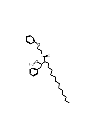 CCCCCCCCCCCCCC(C(=O)OCCOc1ccccc1)C(Cc1ccccc1)OO